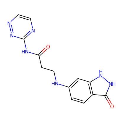 O=C(CCNc1ccc2c(=O)[nH][nH]c2c1)Nc1nccnn1